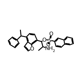 CC(c1ccccc1)c1ccc(C(OS(=O)(=O)c2ccc3ccccc3c2)C(C)N)c2occc12